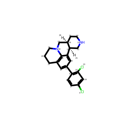 Clc1ccc(-c2cc3c4c(c2)[C@@H]2CNCC[C@@H]2CN4CCC3)c(Cl)c1